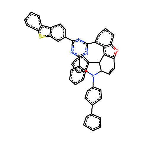 C1=CC2C(c3ccccc3N2c2ccc(-c3ccccc3)cc2)c2c1oc1cccc(-c3nc(-c4ccccc4)nc(-c4ccc5c(c4)sc4ccccc45)n3)c21